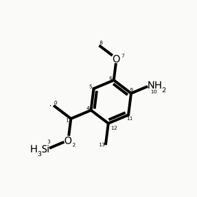 [CH2]C(O[SiH3])c1cc(OC)c(N)cc1C